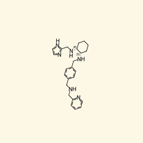 c1ccc(CNCc2ccc(CN[C@H]3CCCC[C@H]3NCc3ncc[nH]3)cc2)nc1